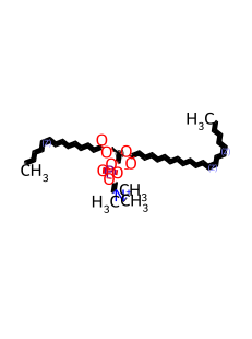 CCCCC/C=C\C/C=C\CCCCCCCCCCCC(=O)O[C@H](COC(=O)CCCCCCC/C=C\CCCCC)COP(=O)([O-])OCC[N+](C)(C)C